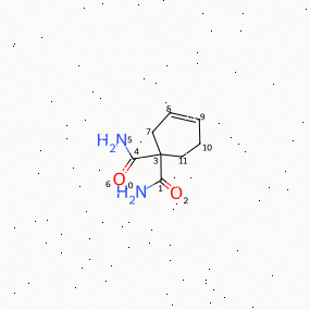 NC(=O)C1(C(N)=O)CC=CCC1